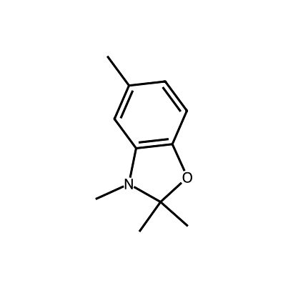 Cc1ccc2c(c1)N(C)C(C)(C)O2